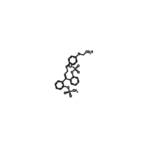 CS(=O)(=O)Oc1ccccc1C(=CCSc1ccc(OCC(=O)O)cc1)c1ccccc1OS(C)(=O)=O